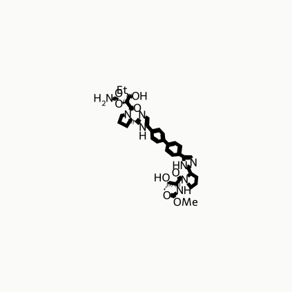 CC[C@H](O)[C@H](OC(N)=O)C(=O)N1CCC[C@H]1c1ncc(-c2ccc(-c3ccc(-c4cnc(C5CCCN5C(=O)[C@@H](NC(=O)OC)[C@H](C)O)[nH]4)cc3)cc2)[nH]1